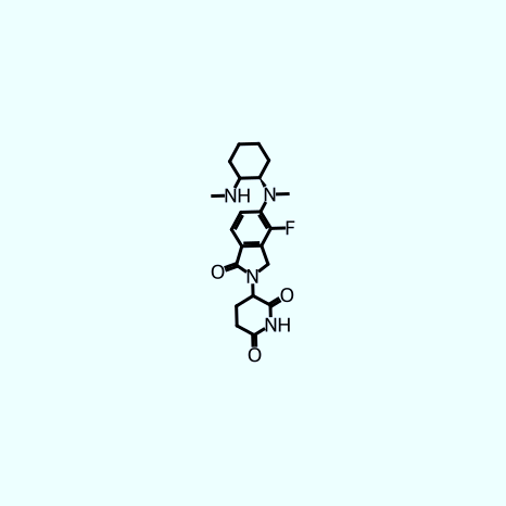 CNC1CCCC[C@H]1N(C)c1ccc2c(c1F)CN(C1CCC(=O)NC1=O)C2=O